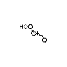 Oc1cccc([C@H]2CCCN(CCCc3ccccc3)C2)c1